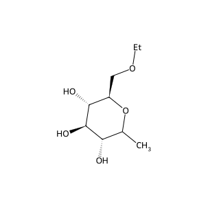 CCOC[C@H]1OC(C)[C@H](O)[C@@H](O)[C@@H]1O